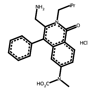 CC(C)Cn1c(CN)c(-c2ccccc2)c2cc(N(C)C(=O)O)ccc2c1=O.Cl